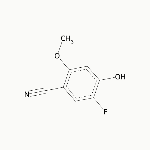 COc1cc(O)c(F)cc1C#N